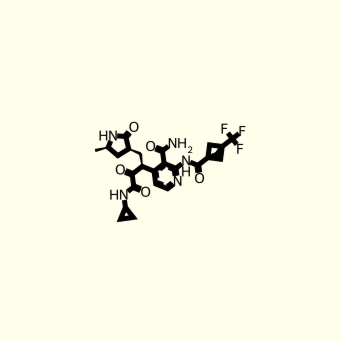 C[C@@H]1C[C@H](C[C@H](C(=O)C(=O)NC2CC2)c2ccnc(NC(=O)C34CC(C(F)(F)F)(C3)C4)c2C(N)=O)C(=O)N1